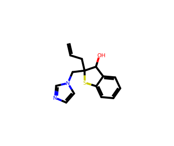 C=CCC1(Cn2ccnc2)Sc2ccccc2C1O